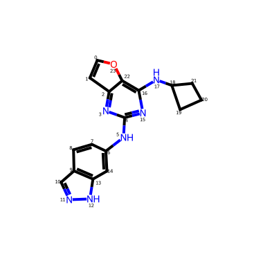 c1cc2nc(Nc3ccc4cn[nH]c4c3)nc(NC3CCC3)c2o1